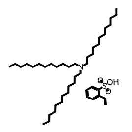 C=Cc1ccccc1S(=O)(=O)O.CCCCCCCCCCCCN(CCCCCCCCCCCC)CCCCCCCCCCCC